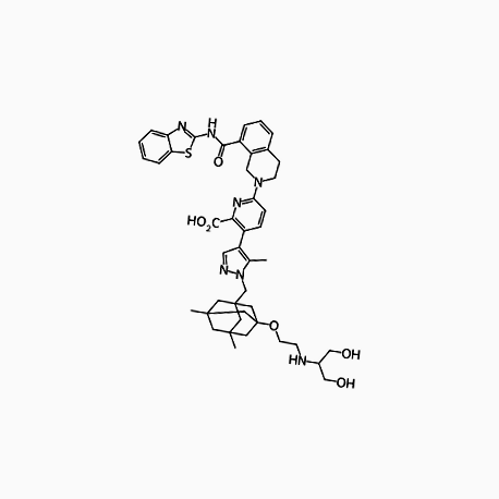 Cc1c(-c2ccc(N3CCc4cccc(C(=O)Nc5nc6ccccc6s5)c4C3)nc2C(=O)O)cnn1CC12CC3(C)CC(C)(C1)CC(OCCNC(CO)CO)(C3)C2